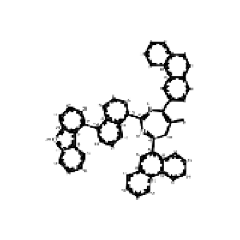 CC1=C(c2ccc3ccc4ccccc4c3c2)N=C(c2cccc3c(-c4cccc5oc6ccccc6c45)cccc23)N=C(c2cc3ccccc3c3ccccc23)C1